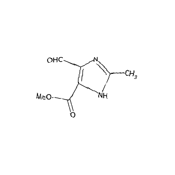 COC(=O)c1[nH]c(C)nc1C=O